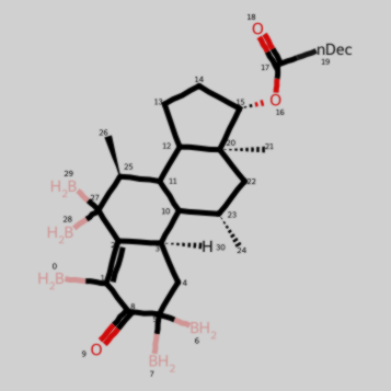 BC1=C2[C@H](CC(B)(B)C1=O)C1C(C3CC[C@H](OC(=O)CCCCCCCCCC)[C@@]3(C)C[C@@H]1C)[C@H](C)C2(B)B